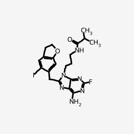 CC(C)C(=O)NCCCn1c(Cc2cc3c(cc2I)CCO3)nc2c(N)nc(F)nc21